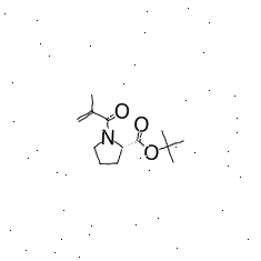 C=C(C)C(=O)N1CCC[C@H]1C(=O)OC(C)(C)C